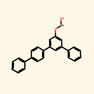 OBOc1cc(-c2ccccc2)cc(-c2ccc(-c3ccccc3)cc2)c1